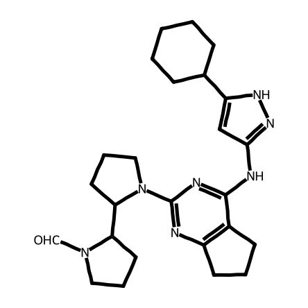 O=CN1CCCC1C1CCCN1c1nc2c(c(Nc3cc(C4CCCCC4)[nH]n3)n1)CCC2